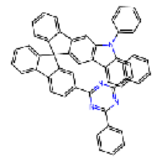 c1ccc(-c2nc(-c3ccccc3)nc(-c3ccc4c(c3)C3(c5ccccc5-4)c4ccccc4-c4cc5c(cc43)c3ccccc3n5-c3ccccc3)n2)cc1